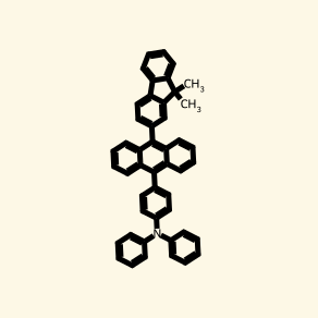 CC1(C)c2ccccc2-c2ccc(-c3c4ccccc4c(-c4ccc(N(c5ccccc5)c5ccccc5)cc4)c4ccccc34)cc21